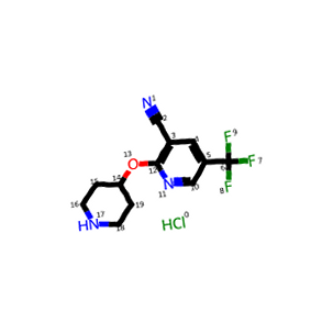 Cl.N#Cc1cc(C(F)(F)F)cnc1OC1CCNCC1